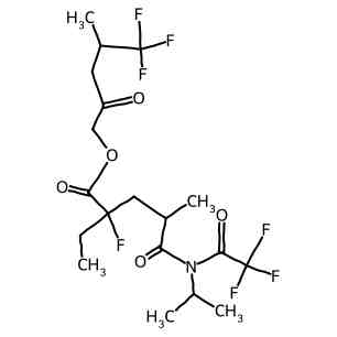 CCC(F)(CC(C)C(=O)N(C(=O)C(F)(F)F)C(C)C)C(=O)OCC(=O)CC(C)C(F)(F)F